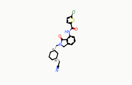 N#CC[C@@H]1CCC[C@H](CN2Cc3cccc(NC(=O)c4ccc(Cl)s4)c3C2=O)C1